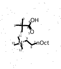 CC(C)(C)C(=O)O.CCCCCCCCCC[N+](C)(C)C